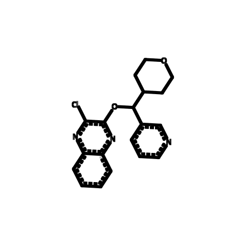 Clc1nc2ccccc2nc1OC(c1cccnc1)C1CCOCC1